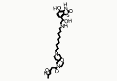 Cc1cc(CC(=O)N2CCOC3(CCN(CCCCCCCCCNCC(O)c4ccc(O)c5[nH]c(=O)sc45)CC3)C2)on1